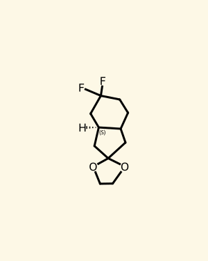 FC1(F)CCC2CC3(C[C@H]2C1)OCCO3